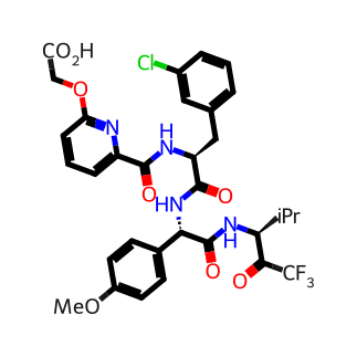 COc1ccc([C@H](NC(=O)[C@H](Cc2cccc(Cl)c2)NC(=O)c2cccc(OCC(=O)O)n2)C(=O)N[C@H](C(=O)C(F)(F)F)C(C)C)cc1